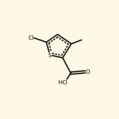 Cc1cc(Cl)sc1C(=O)O